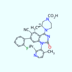 Cc1ccnc(C(C)C)c1-n1c(=O)nc(N2CCN(C(=O)O)C[C@@H]2C)c2cc(C#N)c(-c3ccccc3F)cc21